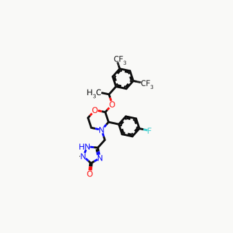 CC(OC1OCCN(CC2=NC(=O)[N]N2)C1c1ccc(F)cc1)c1cc(C(F)(F)F)cc(C(F)(F)F)c1